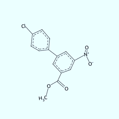 COC(=O)c1cc(-c2ccc(Cl)cc2)cc([N+](=O)[O-])c1